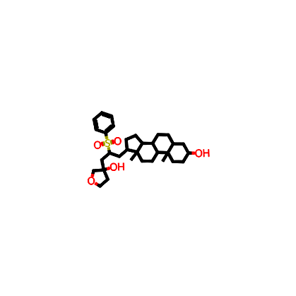 CC12CCC(O)CC1CCC1C2CCC2(C)C(CC(CC3(O)CCOC3)S(=O)(=O)c3ccccc3)CCC12